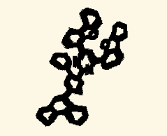 c1ccc(-c2cc(-c3cc4ccccc4c4ccccc34)ccc2-c2nc(-c3cccc4c3oc3ccccc34)cc(-c3cccc4c3oc3ccccc34)n2)cc1